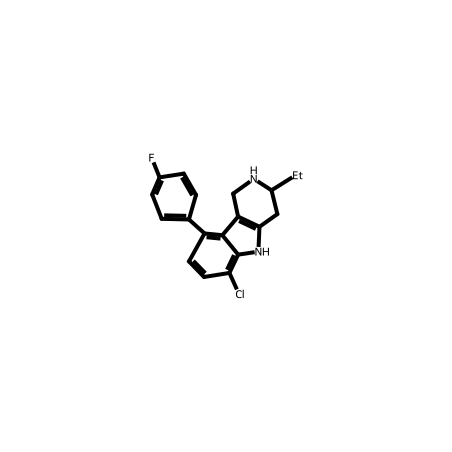 CCC1Cc2[nH]c3c(Cl)ccc(-c4ccc(F)cc4)c3c2CN1